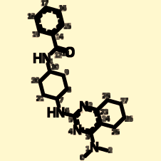 CN(C)c1nc(NC2CCC(NC(=O)c3ccccc3)CC2)nc2c1CCCC2